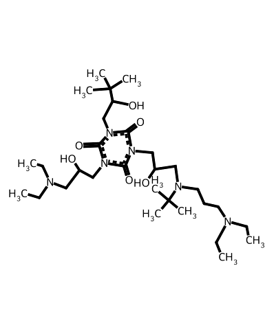 CCN(CC)CCCN(CC(O)Cn1c(=O)n(CC(O)CN(CC)CC)c(=O)n(CC(O)C(C)(C)C)c1=O)C(C)(C)C